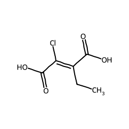 CC/C(C(=O)O)=C(/Cl)C(=O)O